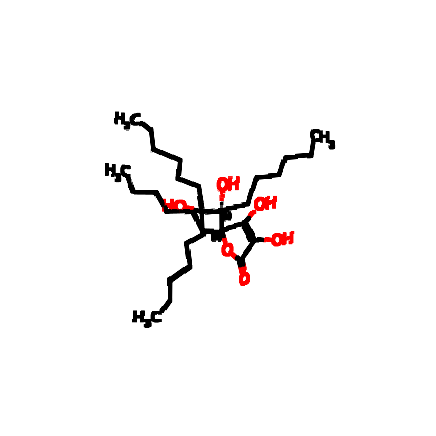 CCCCCCC(O)(CCCCCC)[C@@](O)(CCCCCC)[C@@]1(CCCCCC)OC(=O)C(O)=C1O